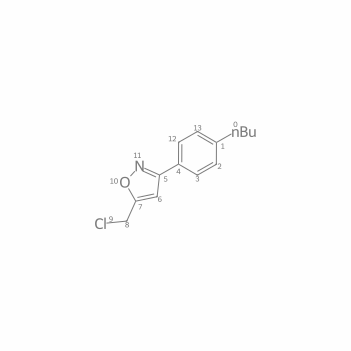 CCCCc1ccc(-c2cc(CCl)on2)cc1